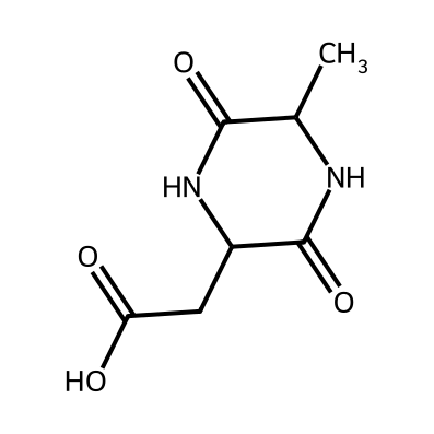 CC1NC(=O)C(CC(=O)O)NC1=O